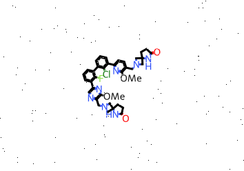 COc1nc(-c2cccc(-c3cccc(-c4cnc(CN5CC6(CCC(=O)N6)C5)c(OC)n4)c3F)c2Cl)ccc1CN1CC2(CCC(=O)N2)C1